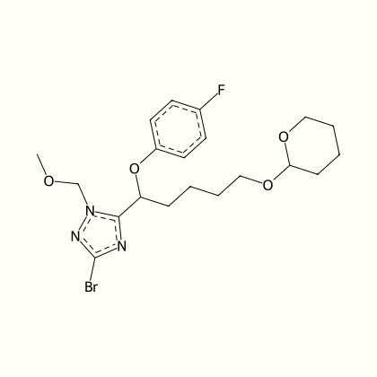 COCn1nc(Br)nc1C(CCCCOC1CCCCO1)Oc1ccc(F)cc1